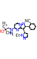 CCn1nccc1-c1c(-c2ccccc2C#N)nn2ccc(NCC(C)(C)O)nc12